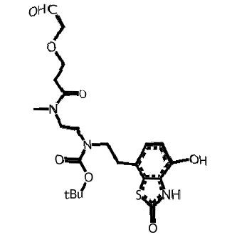 CN(CCN(CCc1ccc(O)c2[nH]c(=O)sc12)C(=O)OC(C)(C)C)C(=O)CCOCC=O